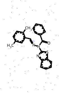 Cc1ccc(C)c(/C=N/N(C(=O)c2ccccc2)c2nc3ccccc3s2)c1